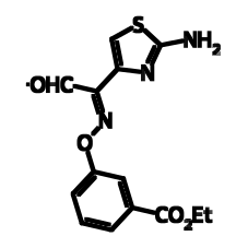 CCOC(=O)c1cccc(O/N=C(\[C]=O)c2csc(N)n2)c1